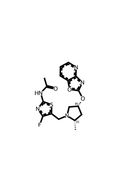 CC(=O)Nc1nc(F)c(CN2C[C@H](Oc3nc4ncccc4o3)C[C@@H]2C)s1